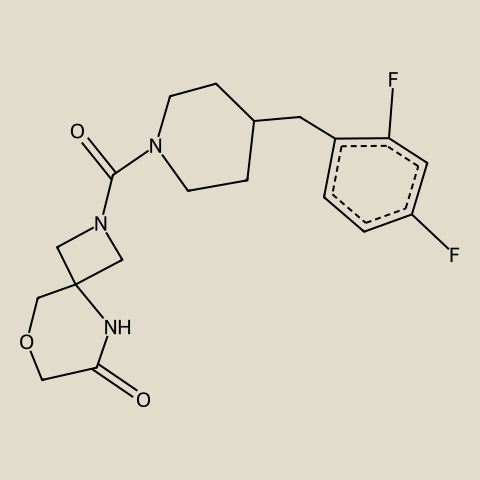 O=C1COCC2(CN(C(=O)N3CCC(Cc4ccc(F)cc4F)CC3)C2)N1